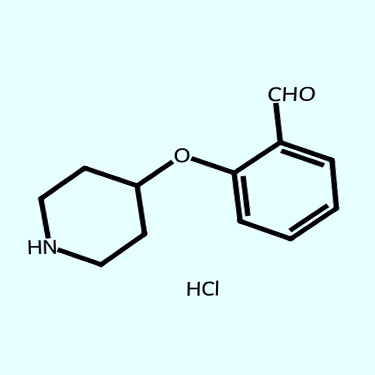 Cl.O=Cc1ccccc1OC1CCNCC1